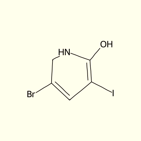 OC1=C(I)C=C(Br)CN1